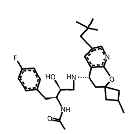 CC(=O)N[C@@H](Cc1ccc(F)cc1)[C@@H](O)CN[C@H]1CC2(CC(C)C2)Oc2ncc(CC(C)(C)C)cc21